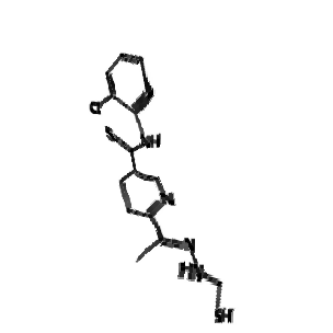 CC(=NNCS)c1ccc(C(=S)Nc2ccccc2Cl)cn1